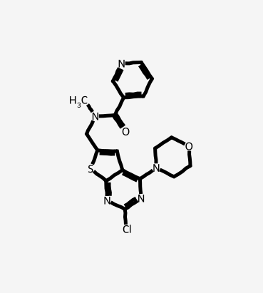 CN(Cc1cc2c(N3CCOCC3)nc(Cl)nc2s1)C(=O)c1cccnc1